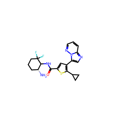 N[C@@H]1CCCC(F)(F)C1NC(=O)c1cc(-c2cnc3cccnn23)c(C2CC2)s1